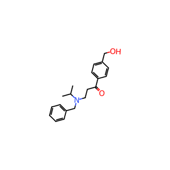 CC(C)N(CCC(=O)c1ccc(CO)cc1)Cc1ccccc1